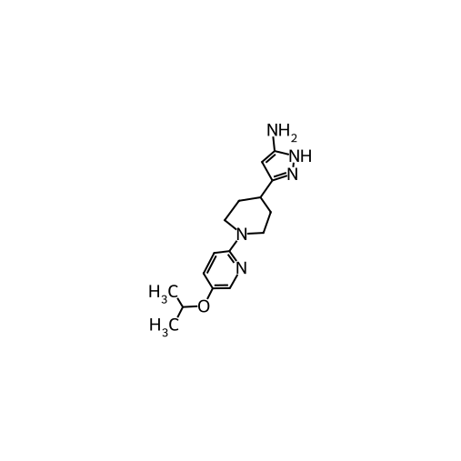 CC(C)Oc1ccc(N2CCC(c3cc(N)[nH]n3)CC2)nc1